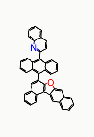 c1ccc2cc3c(cc2c1)oc1c(-c2c4ccccc4c(-c4ccc5ccccc5n4)c4ccccc24)cc2ccccc2c13